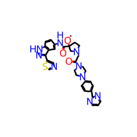 COC1(C(=O)Nc2ccc3[nH]nc(-c4cncs4)c3c2)CCN(CC(=O)N2CCN(c3ccc(-c4ncccn4)cc3)CC2)C1